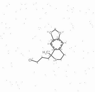 CC1(CCCCl)SCCc2cc3c(cc21)OCO3